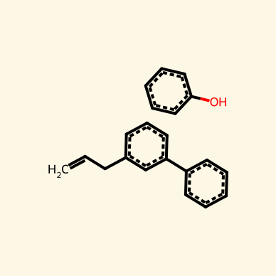 C=CCc1cccc(-c2ccccc2)c1.Oc1ccccc1